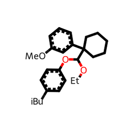 CCOC(Oc1ccc(C(C)CC)cc1)C1(c2cccc(OC)c2)CCCCC1